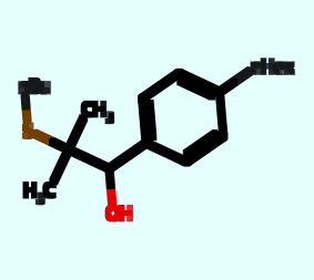 CCCCCCc1ccc(C(O)C(C)(C)SCCCC)cc1